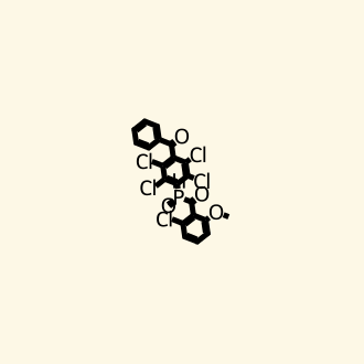 COc1cccc(Cl)c1C(=O)[PH](=O)c1c(Cl)c(Cl)c(C(=O)c2ccccc2)c(Cl)c1Cl